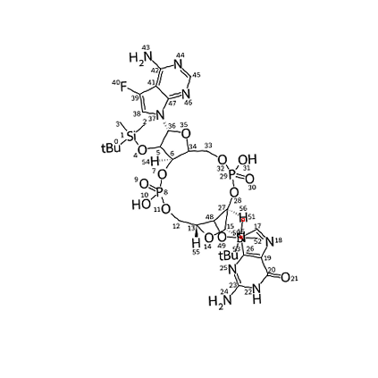 CC(C)(C)[Si](C)(C)OC1[C@@H]2OP(=O)(O)OC[C@H]3O[C@@H](n4cnc5c(=O)[nH]c(N)nc54)[C@H](OP(=O)(O)OCC2O[C@H]1n1cc(F)c2c(N)ncnc21)C3O[Si](C)(C)C(C)(C)C